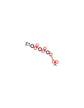 C=C(C)C(=O)OCCCCOc1ccc(C(=O)Oc2ccc(C(=O)Oc3ccc(CC)cc3)cc2)cc1